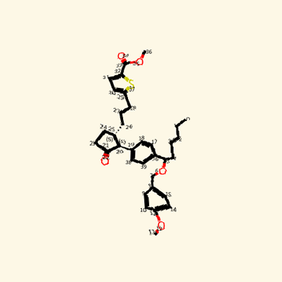 CCCCCC(OCc1ccc(OC)cc1)c1ccc([C@H]2C(=O)CC[C@@H]2CCCc2ccc(C(=O)OC)s2)cc1